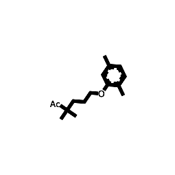 CC(=O)C(C)(C)CCCOc1cc(C)ccc1C